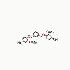 COc1cc(C#N)ccc1OCc1cc(C)cc(COc2ccc(C#N)cc2OC)c1